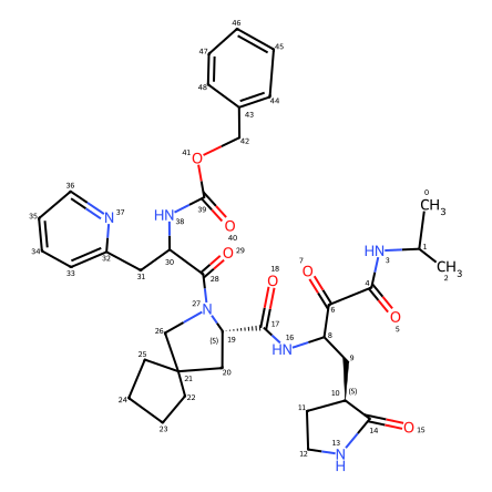 CC(C)NC(=O)C(=O)C(C[C@@H]1CCNC1=O)NC(=O)[C@@H]1CC2(CCCC2)CN1C(=O)C(Cc1ccccn1)NC(=O)OCc1ccccc1